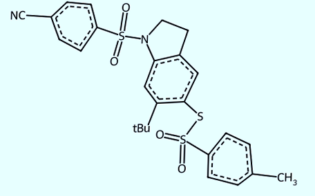 Cc1ccc(S(=O)(=O)Sc2cc3c(cc2C(C)(C)C)N(S(=O)(=O)c2ccc(C#N)cc2)CC3)cc1